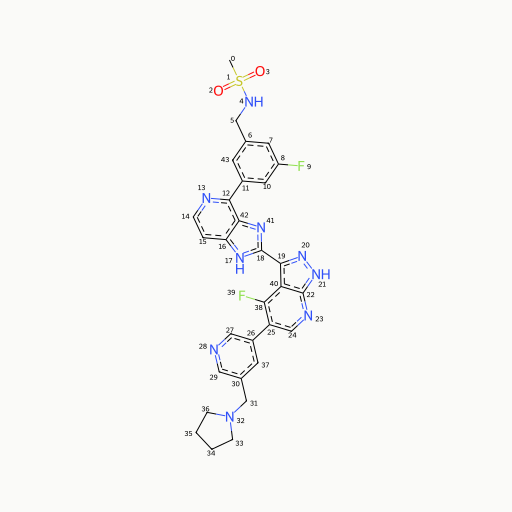 CS(=O)(=O)NCc1cc(F)cc(-c2nccc3[nH]c(-c4n[nH]c5ncc(-c6cncc(CN7CCCC7)c6)c(F)c45)nc23)c1